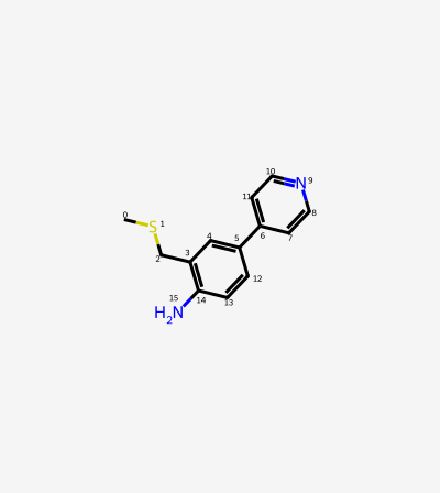 CSCc1cc(-c2ccncc2)ccc1N